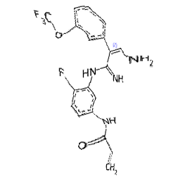 C=CC(=O)Nc1ccc(F)c(NC(=N)/C(=C\N)c2cccc(OC(F)(F)F)c2)c1